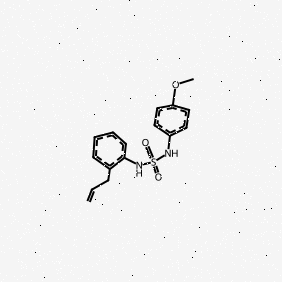 C=CCc1ccccc1NS(=O)(=O)Nc1ccc(OC)cc1